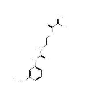 C=C(C)C(=O)OCCNC(=O)Nc1cccc(NC(C)=O)c1